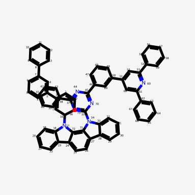 C1=CC(c2cccc(-c3ccccc3)c2)=CC(n2c3ccccc3c3ccc4c5ccccc5n(-c5nc(-c6ccccc6)nc(-c6cccc(-c7cc(-c8ccccc8)nc(-c8ccccc8)c7)c6)n5)c4c32)C1